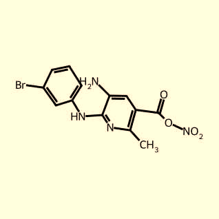 Cc1nc(Nc2cccc(Br)c2)c(N)cc1C(=O)O[N+](=O)[O-]